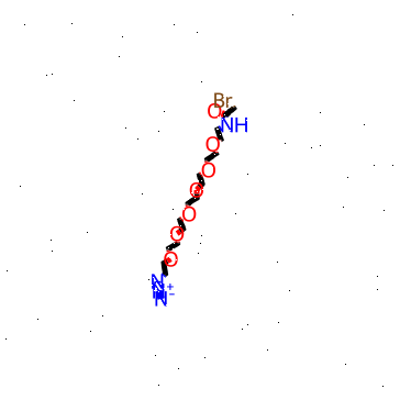 [N-]=[N+]=NCCOCCOCCOCCOCCOCCOCCNC(=O)CBr